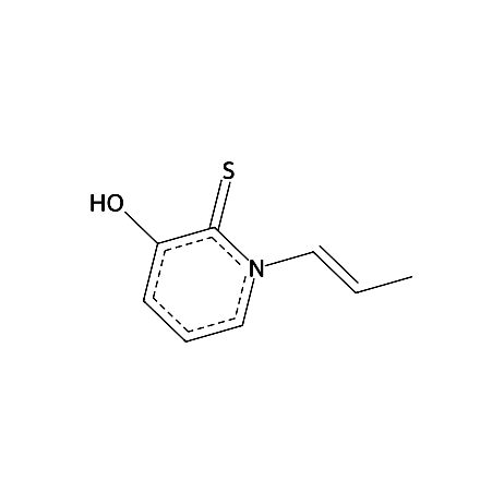 CC=Cn1cccc(O)c1=S